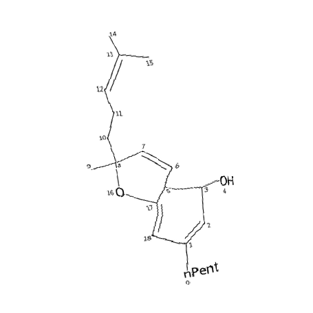 CCCCCC1=CC(O)C2C=CC(C)(CCC=C(C)C)OC2=C1